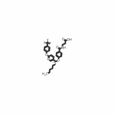 CCCCCC[C@@H](Oc1ccc(C(=O)NCCC(=O)O)cc1)c1ccc(Oc2ccc(C(F)(F)F)cc2)nc1